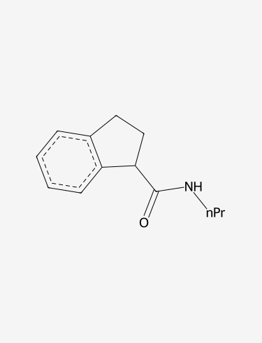 CCCNC(=O)C1CCc2ccccc21